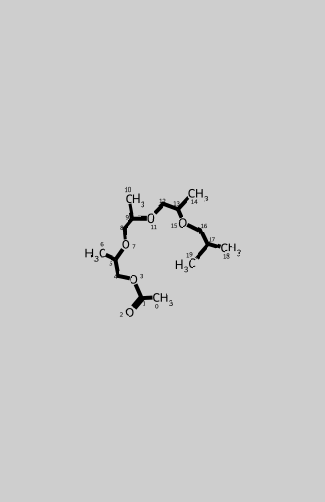 CC(=O)OCC(C)OCC(C)OCC(C)OCC(C)C